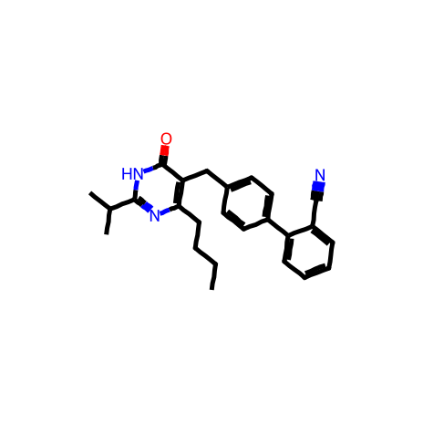 CCCCc1nc(C(C)C)[nH]c(=O)c1Cc1ccc(-c2ccccc2C#N)cc1